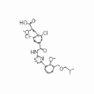 CO/C(=C\c1c(Cl)cc(C(=O)Nc2nc(-c3cccc(COCC(C)C)c3OC)cs2)cc1Cl)C(=O)O